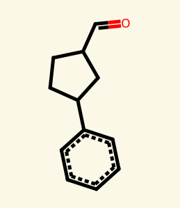 O=CC1CCC(c2ccccc2)C1